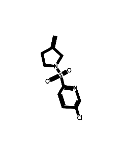 C=C1CCN(S(=O)(=O)c2ccc(Cl)cn2)C1